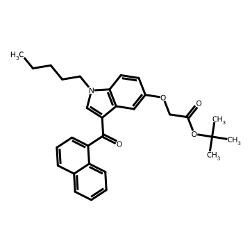 CCCCCn1cc(C(=O)c2cccc3ccccc23)c2cc(OCC(=O)OC(C)(C)C)ccc21